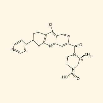 C[C@H]1CN(C(=O)O)CCN1C(=O)c1ccc2c(Cl)c3c(nc2c1)CC(c1ccncc1)CC3